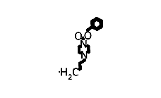 [CH2]CCCN1CCN(C(=O)OCc2ccccc2)CC1